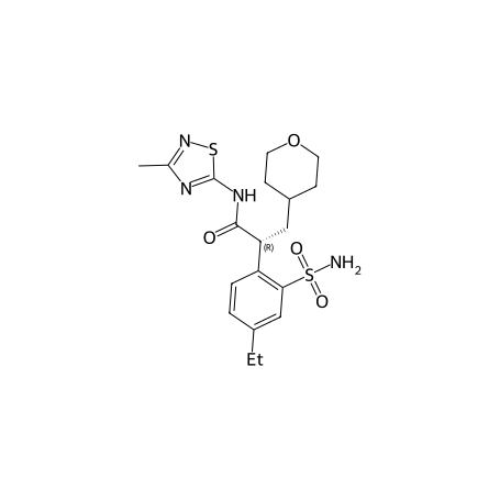 CCc1ccc([C@@H](CC2CCOCC2)C(=O)Nc2nc(C)ns2)c(S(N)(=O)=O)c1